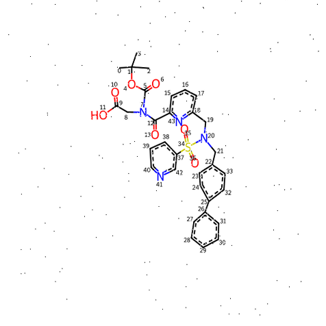 CC(C)(C)OC(=O)N(CC(=O)O)C(=O)c1cccc(CN(Cc2ccc(-c3ccccc3)cc2)S(=O)(=O)c2cccnc2)n1